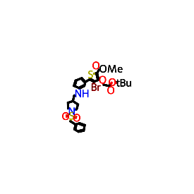 COC(=O)c1sc(-c2cccc(NCC3CCN(S(=O)(=O)Cc4ccccc4)CC3)c2)c(Br)c1OCC(=O)OC(C)(C)C